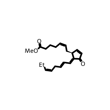 CC/C=C\C/C=C/C=C1/C(=O)C=C[C@@H]1C/C=C\CCCC(=O)OC